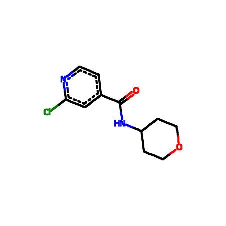 O=C(NC1CCOCC1)c1ccnc(Cl)c1